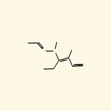 C=C/C(F)=C(\CC)N(C)N=CC